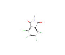 CCN1C(=O)c2c(Cl)c(Cl)c(Cl)c(Cl)c2C1=O